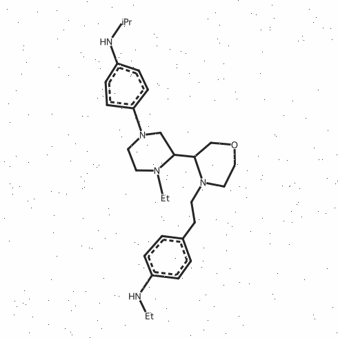 CCNc1ccc(CCN2CCOCC2C2CN(c3ccc(NC(C)C)cc3)CCN2CC)cc1